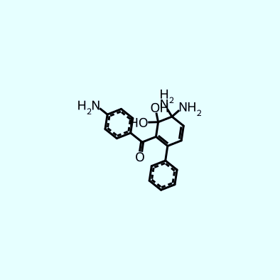 Nc1ccc(C(=O)C2=C(c3ccccc3)C=CC(N)(N)C2(O)O)cc1